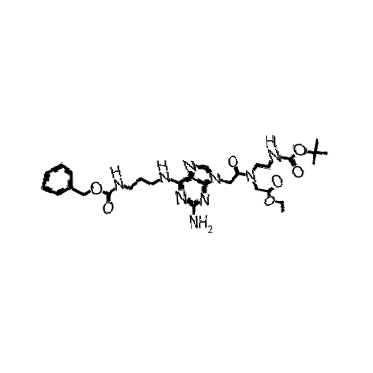 CCOC(=O)CN(CCNC(=O)OC(C)(C)C)C(=O)Cn1cnc2c(NCCCNC(=O)OCc3ccccc3)nc(N)nc21